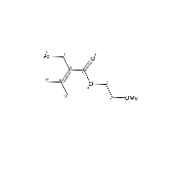 COCCOC(=O)C(CC(C)=O)=C(C)C